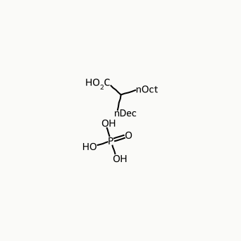 CCCCCCCCCCC(CCCCCCCC)C(=O)O.O=P(O)(O)O